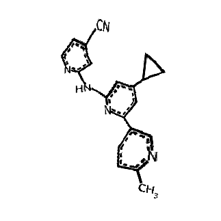 Cc1ccc(-c2cc(C3CC3)cc(Nc3cc(C#N)ccn3)n2)cn1